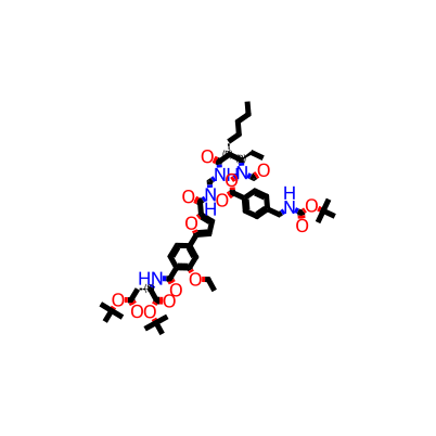 CCCCC[C@@H](C(=O)NCNC(=O)c1ccc(-c2ccc(C(=O)N[C@@H](CC(=O)OC(C)(C)C)C(=O)OC(C)(C)C)c(OCC)c2)o1)[C@@H](CC)N(C=O)OC(=O)c1ccc(CNC(=O)OC(C)(C)C)cc1